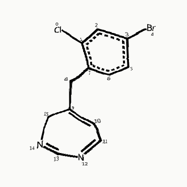 Clc1cc(Br)ccc1CC1=CC=NC=NC1